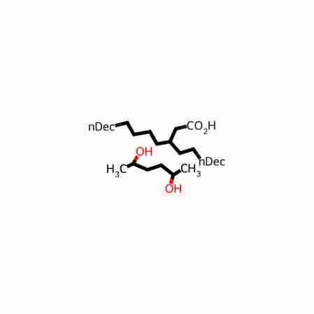 CC(O)CCC(C)O.CCCCCCCCCCCCCCC(CCCCCCCCCCCC)CC(=O)O